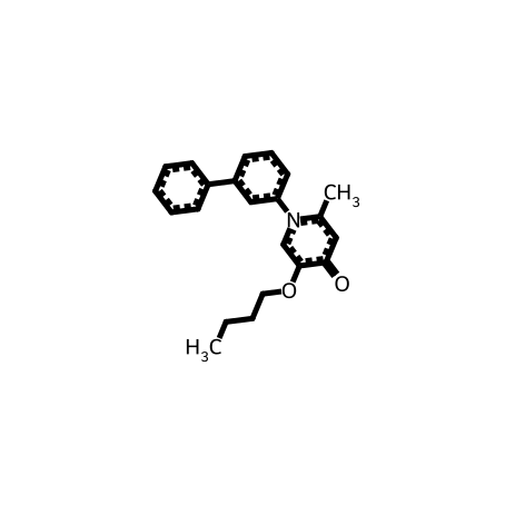 CCCCOc1cn(-c2cccc(-c3ccccc3)c2)c(C)cc1=O